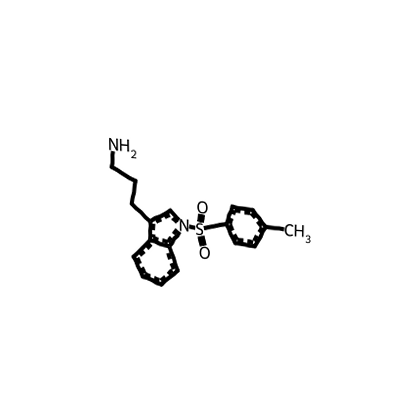 Cc1ccc(S(=O)(=O)n2cc(CCCN)c3ccccc32)cc1